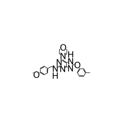 COc1ccc(CNc2nc(N3CCOCC3)c3[nH]c(Oc4cccc(C)c4)nc3n2)cc1